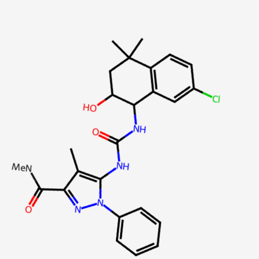 CNC(=O)c1nn(-c2ccccc2)c(NC(=O)NC2c3cc(Cl)ccc3C(C)(C)CC2O)c1C